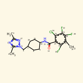 Cc1nc(C)n(CC2CCC(NC(=O)c3c(F)c(C)c(F)c(F)c3Cl)CC2)n1